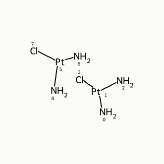 [NH2][Pt]([NH2])[Cl].[NH2][Pt]([NH2])[Cl]